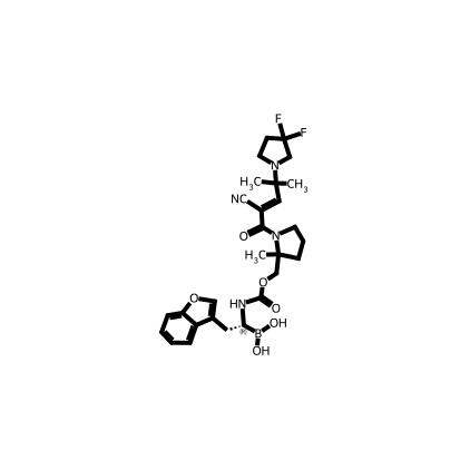 CC(C)(C=C(C#N)C(=O)N1CCCC1(C)COC(=O)N[C@@H](Cc1coc2ccccc12)B(O)O)N1CCC(F)(F)C1